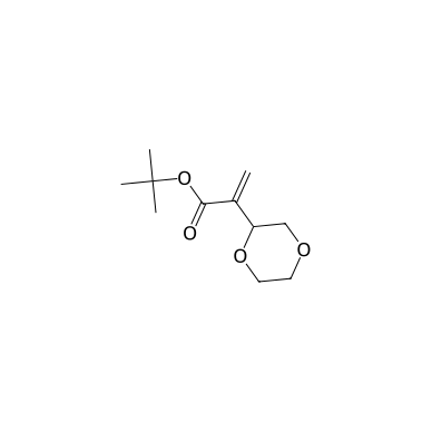 C=C(C(=O)OC(C)(C)C)C1COCCO1